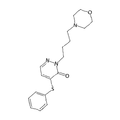 O=c1c(Sc2ccccc2)ccnn1CCCCN1CCOCC1